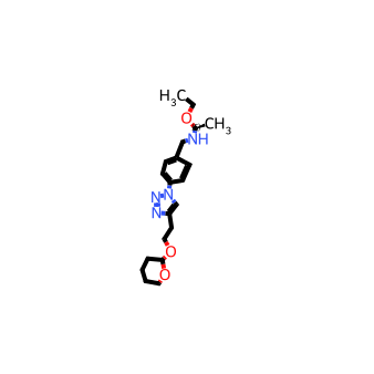 CCO[C@@H](C)NCc1ccc(-n2cc(CCOC3CCCCO3)nn2)cc1